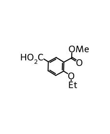 CCOc1ccc(C(=O)O)cc1C(=O)OC